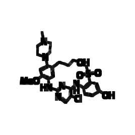 COc1cc(N2CCN(C)CC2)c(CCCO)cc1Nc1ncc(Cl)c(Nc2ccc(O)cc2S(C)(=O)=O)n1